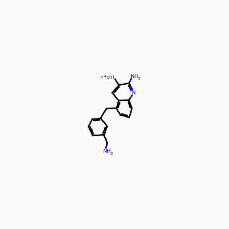 CCCCCc1cc2c(Cc3cccc(CN)c3)cccc2nc1N